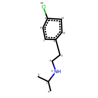 CC(C)NCCc1ccc(Cl)cc1